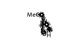 COc1cccc(OCc2nc(N(C)CCN3CCOCC3)c3cc(-c4cn[nH]c4)ccc3n2)c1